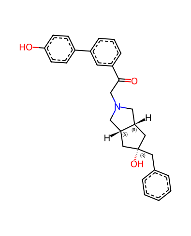 O=C(CN1C[C@@H]2C[C@@](O)(Cc3ccccc3)C[C@@H]2C1)c1cccc(-c2ccc(O)cc2)c1